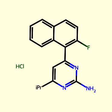 CC(C)c1cc(-c2c(F)ccc3ccccc23)nc(N)n1.Cl